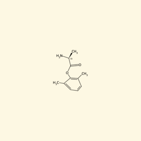 Cc1cccc(C)c1OC(=O)[C@H](C)N